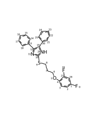 Fc1ccc(OCCCSc2nc(-c3ccccc3)c(-c3ccccc3)[nH]2)c(F)c1